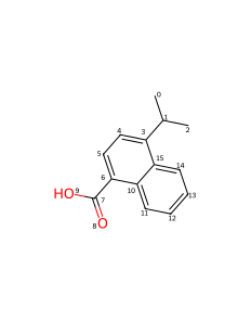 CC(C)c1ccc(C(=O)O)c2ccccc12